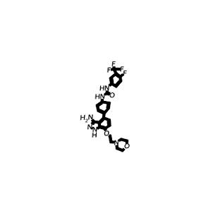 Nc1n[nH]c2c(OCCN3CCOCC3)ccc(-c3ccc(NC(=O)Nc4ccc(F)c(C(F)(F)F)c4)cc3)c12